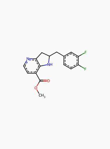 COC(=O)c1ccnc2c1NC(Cc1ccc(F)c(F)c1)C2